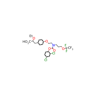 CCOC(Cc1ccc(OCCN(CCCOC(F)(F)C(F)(F)F)C(=O)Oc2ccc(Cl)cc2Cl)cc1)C(=O)O